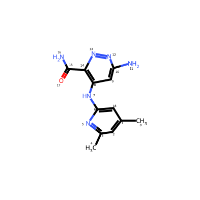 Cc1cc(C)nc(Nc2cc(N)nnc2C(N)=O)c1